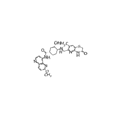 COc1ccc2nccc(NC(=O)[C@H]3CC[C@H](NCc4nc5c(cc4C)SCC(=O)N5)[C@@H](O)C3)c2n1